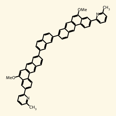 COc1cc2cc3cc(-c4ccc5ccc(-c6ccc7cc8c(cc(OC)c9cc(-c%10cccc(C)n%10)ccc98)cc7c6)cc5c4)ccc3cc2c2ccc(-c3cccc(C)n3)cc12